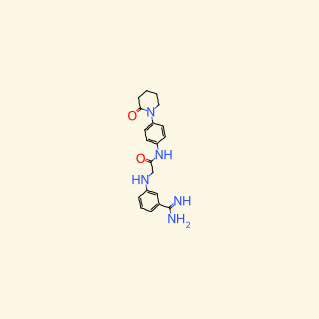 N=C(N)c1cccc(NCC(=O)Nc2ccc(N3CCCCC3=O)cc2)c1